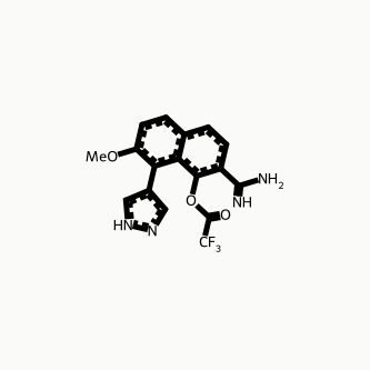 COc1ccc2ccc(C(=N)N)c(OC(=O)C(F)(F)F)c2c1-c1cn[nH]c1